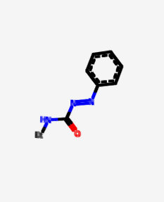 CCNC(=O)N=Nc1ccccc1